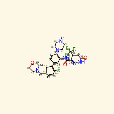 CN1CCN(c2ccc(-c3cc(CN4CCOCC4)ccc3F)cc2NC(=O)c2n[nH]c(=O)cc2C(F)(F)F)CC1